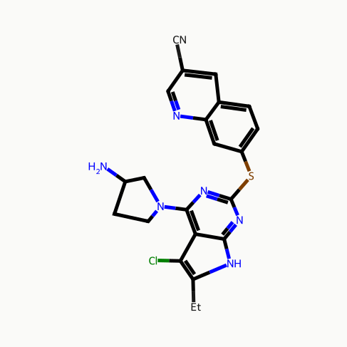 CCc1[nH]c2nc(Sc3ccc4cc(C#N)cnc4c3)nc(N3CCC(N)C3)c2c1Cl